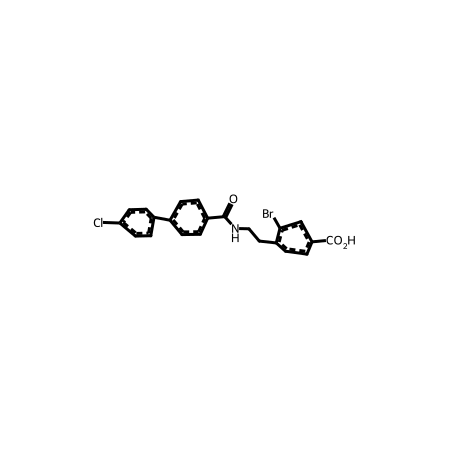 O=C(O)c1ccc(CCNC(=O)c2ccc(-c3ccc(Cl)cc3)cc2)c(Br)c1